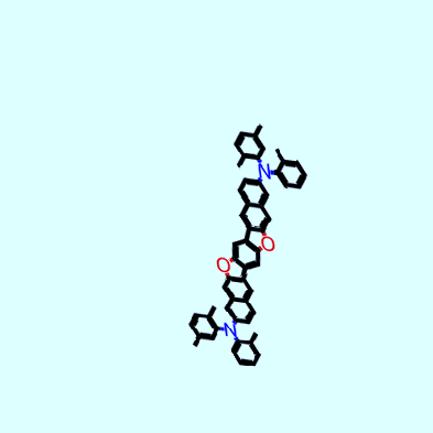 Cc1ccc(C)c(N(c2ccc3cc4c(cc3c2)oc2cc3c(cc24)oc2cc4cc(N(c5ccccc5C)c5cc(C)ccc5C)ccc4cc23)c2ccccc2C)c1